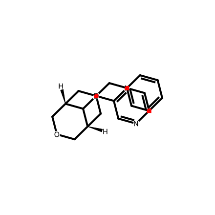 c1ccc(CN2C[C@H]3COC[C@@H](C2)C3Oc2cnccn2)cc1